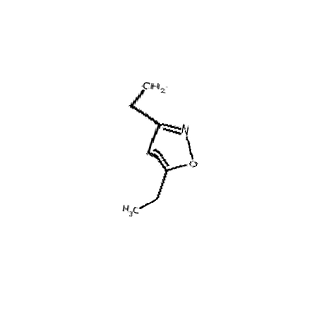 [CH2]Cc1cc(CC)on1